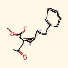 COC(=O)/C(=C\C=C\c1ccccc1)C(C)=O